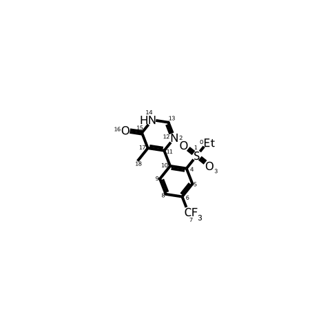 CCS(=O)(=O)c1cc(C(F)(F)F)ccc1-c1nc[nH]c(=O)c1C